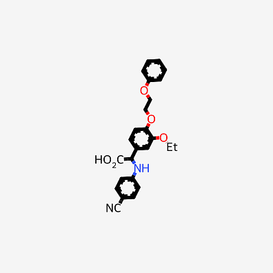 CCOc1cc(C(Nc2ccc(C#N)cc2)C(=O)O)ccc1OCCOc1ccccc1